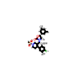 COc1cc(F)c(C(C)C)cc1C1=C(CN2C(=O)O[C@H](c3cc(C)cc(C(F)(F)F)c3)[C@@H]2C)CN(S(C)(=O)=O)CC1